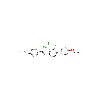 CCCc1ccc(/C=C/c2ccc(-c3ccc(OCC)cc3)c(F)c2C(F)F)cc1